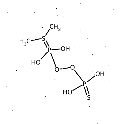 CS(C)=P(O)(O)OOP(O)(O)=S